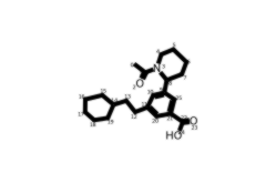 CC(=O)N1CCCCC1c1cc(CCC2CCCCC2)cc(C(=O)O)c1